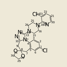 Clc1ccc2c(c1)CC1(Cc3nnc(N4CCN(c5ncccc5Cl)CC4)n3-2)OCCO1